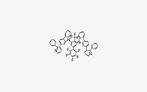 Fc1c(F)c(F)c(-c2cc(-n3c4ccccc4c4ccc(-c5cccnc5-c5ccccc5)cc43)c(C(F)(F)F)c(-n3c4ccccc4c4ccc(-c5cccnc5-c5ccccc5)cc43)c2)c(F)c1F